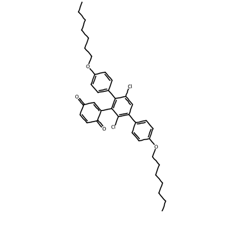 CCCCCCCOc1ccc(-c2cc(Cl)c(-c3ccc(OCCCCCCC)cc3)c(C3=CC(=O)C=CC3=O)c2Cl)cc1